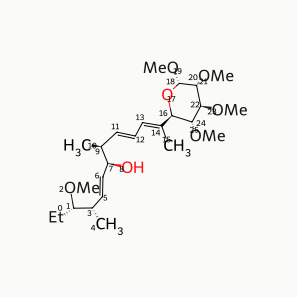 CC[C@H](OC)[C@@H](C)/C=C/[C@H](O)[C@@H](C)/C=C/C=C(\C)[C@H]1O[C@H](OC)[C@H](OC)[C@@H](OC)[C@@H]1OC